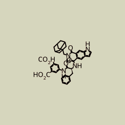 O=C(O)c1cc(NC(=O)[C@H](Cc2ccccc2)NC(=O)c2cc3cc[nH]c3cc2C(=O)NCC23CC4CC(CC(C4)C2)C3)cc(C(=O)O)c1